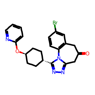 O=C1Cc2cc(Br)ccc2-n2c(nnc2[C@H]2CC[C@H](Oc3ccccn3)CC2)C1